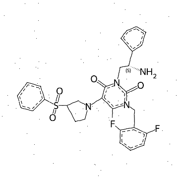 Cc1c(N2CCC(S(=O)(=O)c3ccccc3)C2)c(=O)n(C[C@@H](N)c2ccccc2)c(=O)n1Cc1c(F)cccc1F